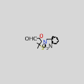 CC1(C)SCN(Cc2ccccc2[N+](=O)[O-])C1C(=O)C=O